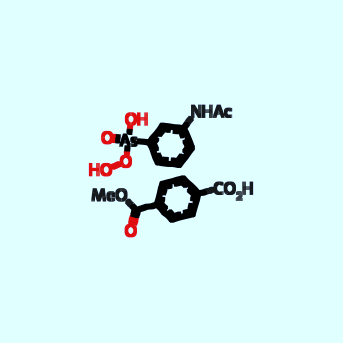 CC(=O)Nc1cccc([As](=O)(O)OO)c1.COC(=O)c1ccc(C(=O)O)cc1